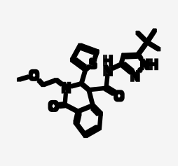 COCCN1C(=O)c2ccccc2C(C(=O)Nc2cc(C(C)(C)C)[nH]n2)C1c1cccs1